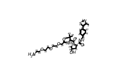 Cc1ncsc1-c1ccc(CNC(=O)[C@@H]2C[C@@H](O)CN2C(=O)[C@@H](NC(=O)COCCOCCOCCN)C(C)(C)C)cc1